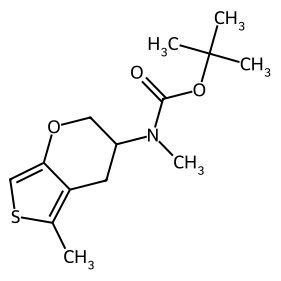 Cc1scc2c1CC(N(C)C(=O)OC(C)(C)C)CO2